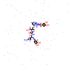 CC1=NC2=CN(CNS(=O)(=O)c3ccc(O)c(O)c3)NN2C(SCC2=C(C(=O)O)N3C(=O)C(NC(=O)C(=NOCc4ccc(O)c(O)c4F)c4csc(N)n4)C3SC2)=C1